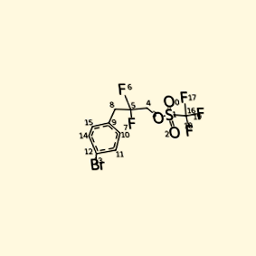 O=S(=O)(OCC(F)(F)Cc1ccc(Br)cc1)C(F)(F)F